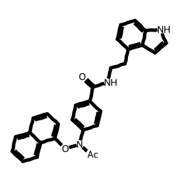 CC(=O)N(Oc1cccc2ccccc12)c1ccc(C(=O)NCCc2cccc3[nH]ccc23)cc1